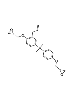 C=CCc1cc(C(C)(C)c2ccc(OCC3CO3)cc2)ccc1OC[C@@H]1CO1